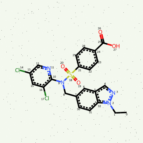 CCn1ncc2cc(CN(c3ncc(Cl)cc3Cl)S(=O)(=O)c3ccc(C(=O)O)cc3)ccc21